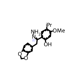 COc1cc(O)c(/C(Cc2ccc3c(c2)OCO3)=N\N)cc1C(C)C